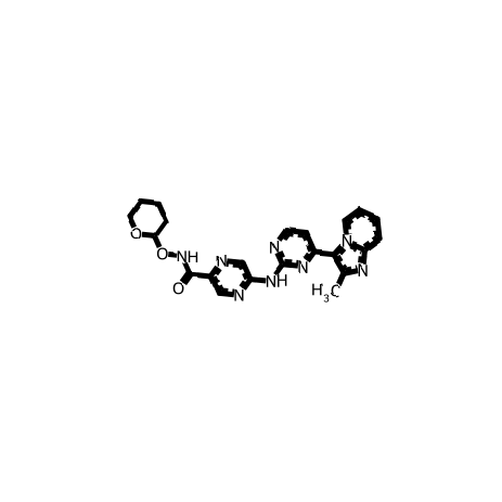 Cc1nc2ccccn2c1-c1ccnc(Nc2cnc(C(=O)NOC3CCCCO3)cn2)n1